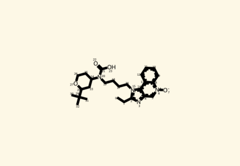 CCc1nc2c[n+]([O-])c3ccccc3c2n1CCCCN(C(=O)O)C1CCOC(C(C)(C)C)C1